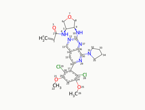 C=CC(=O)N[C@H]1COC[C@H]1Nc1ncc2cc(-c3c(Cl)c(OC)cc(OC)c3Cl)nc(N3CCCC3)c2n1